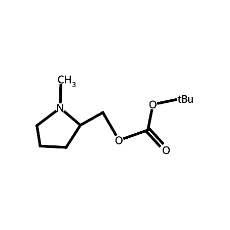 CN1CCCC1COC(=O)OC(C)(C)C